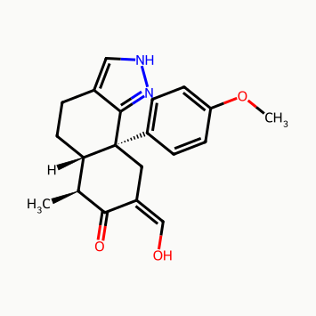 COc1ccc([C@]23CC(=CO)C(=O)[C@@H](C)[C@@H]2CCc2c[nH]nc23)cc1